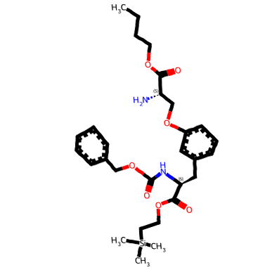 CCCCOC(=O)[C@@H](N)COc1cccc(C[C@H](NC(=O)OCc2ccccc2)C(=O)OCC[Si](C)(C)C)c1